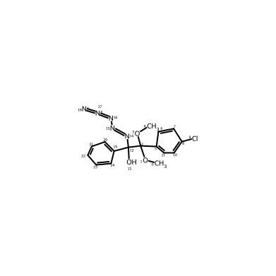 COC(OC)(c1ccc(Cl)cc1)C(O)(N=NN=[N+]=[N-])c1ccccc1